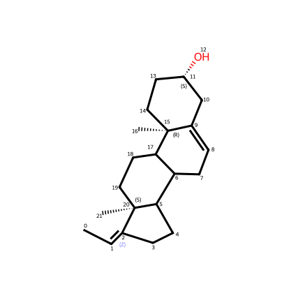 C/C=C1/CCC2C3CC=C4C[C@@H](O)CC[C@]4(C)C3CC[C@]12C